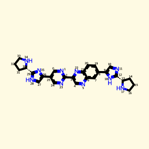 c1nc(-c2cnc3cc(-c4cnc([C@@H]5CCCN5)[nH]4)ccc3n2)ncc1-c1c[nH]c([C@@H]2CCCN2)n1